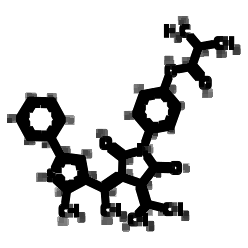 CC(C)=C1C(=O)N(c2ccc(OC(=O)C(C)C)cc2)C(=O)C1=C(C)c1cc(-c2ccccc2)sc1C